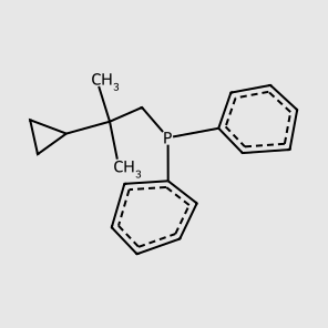 CC(C)(CP(c1ccccc1)c1ccccc1)C1CC1